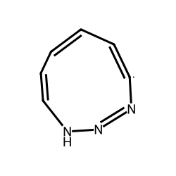 [c]1ccccc[nH]nn1